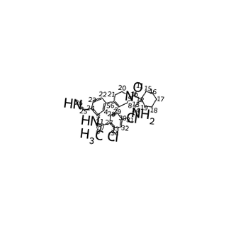 C[C@@H](Nc1cc(C2=CCN(C(=O)C3(CN)CCCCC3)CC2)ccc1C=N)c1ccc(Cl)cc1Cl